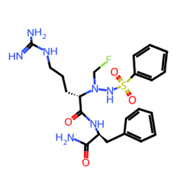 N=C(N)NCCC[C@@H](C(=O)N[C@@H](Cc1ccccc1)C(N)=O)N(CF)NS(=O)(=O)c1ccccc1